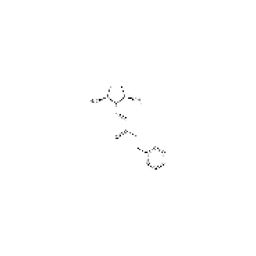 C[C@@H]1CC[C@H](C)[C@H]1/C=C/C(=O)CCc1ccccc1